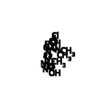 CC(C)NCC(C(=O)N1CCN(c2ncnc3c2[C@H](C)C[C@H]3O)CC1)c1ccc(Cl)cc1F